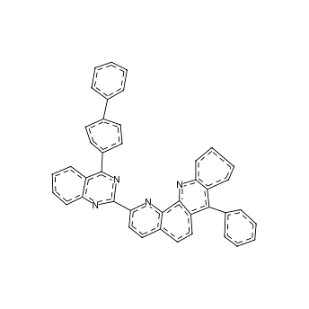 c1ccc(-c2ccc(-c3nc(-c4ccc5ccc6c(-c7ccccc7)c7ccccc7nc6c5n4)nc4ccccc34)cc2)cc1